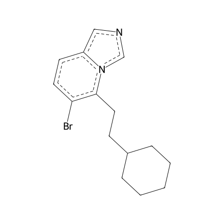 Brc1ccc2cncn2c1CCC1CCCCC1